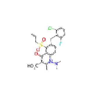 C=CCS(=O)(=O)c1c(Cc2c(F)cccc2Cl)ccc2c1c(=O)c(C(=O)O)c(C)n2N(C)C